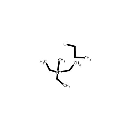 CCC[O-].CC[N+](C)(CC)CC